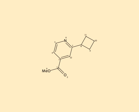 COC(=O)c1ccnc(C2CCC2)c1